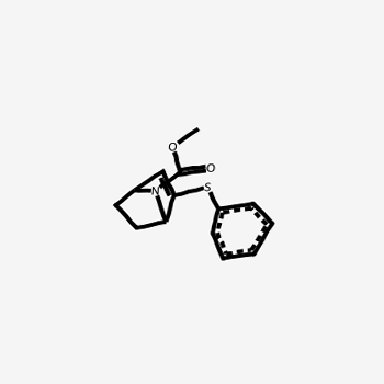 COC(=O)N1C2C=C(Sc3ccccc3)C1CC2